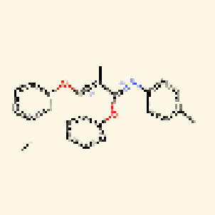 CCc1cccc(O/C=C(C)/C(=N/c2ccc(C)cc2)Oc2ccccc2)c1